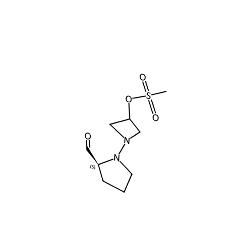 CS(=O)(=O)OC1CN(N2CCC[C@H]2C=O)C1